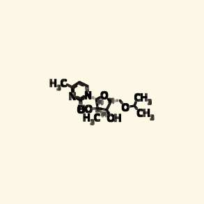 Cc1ccn([C@@H]2O[C@H](COC(C)C)[C@@H](O)[C@@]2(C)O)c(=O)n1